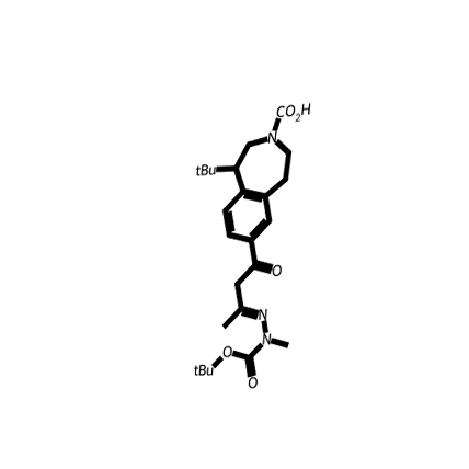 CC(CC(=O)c1ccc2c(c1)CCN(C(=O)O)CC2C(C)(C)C)=NN(C)C(=O)OC(C)(C)C